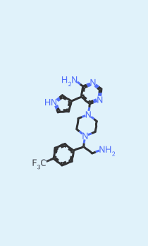 NCC(c1ccc(C(F)(F)F)cc1)N1CCN(c2ncnc(N)c2-c2cc[nH]c2)CC1